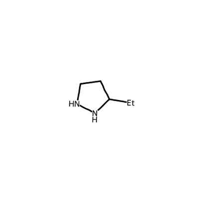 CCC1CCNN1